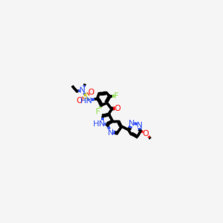 CCN(C)S(=O)(=O)Nc1ccc(F)c(C(=O)c2c[nH]c3ncc(-c4ccc(OC)nn4)cc23)c1F